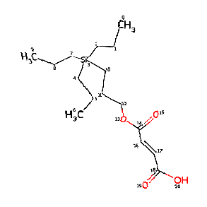 CCC[Si](CCC)(CCC)CCCOC(=O)C=CC(=O)O